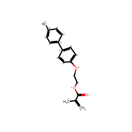 C=C(C)C(=O)OCCOc1ccc(-c2ccc(C#N)cc2)cc1